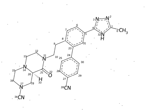 Cc1nnc(-c2ccc(CCN3CCN4CCN(C#N)C[C@@H]4C3=O)c(-c3ccc(C#N)cc3)c2)[nH]1